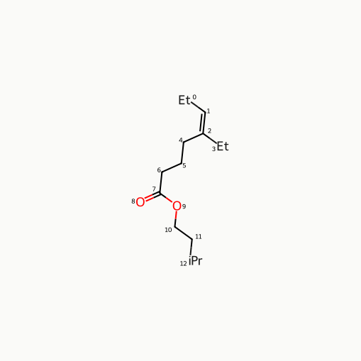 CCC=C(CC)CCCC(=O)OCCC(C)C